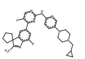 CC1=Nc2c(F)cc(-c3nc(Nc4ccc(N5CCN(CC6CC6)CC5)cn4)ncc3F)cc2C12CCCC2